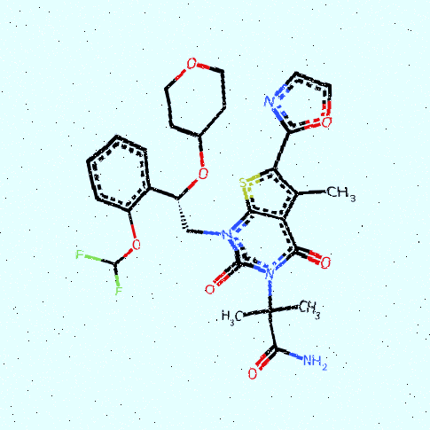 Cc1c(-c2ncco2)sc2c1c(=O)n(C(C)(C)C(N)=O)c(=O)n2C[C@@H](OC1CCOCC1)c1ccccc1OC(F)F